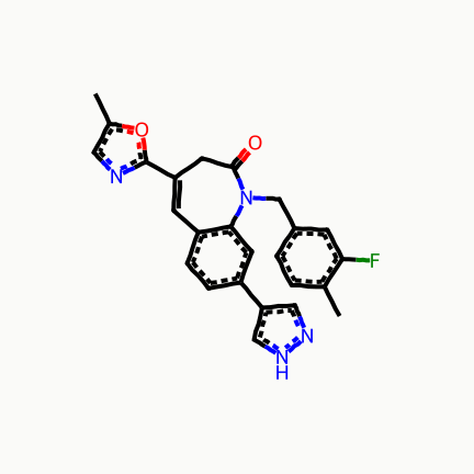 Cc1cnc(C2=Cc3ccc(-c4cn[nH]c4)cc3N(Cc3ccc(C)c(F)c3)C(=O)C2)o1